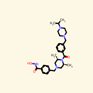 CC(C)N1CCN(Cc2cccc(C(=O)N3[C@H](C)CN(Cc4ccc(C(=O)NO)cc4)C[C@@H]3C)c2)CC1